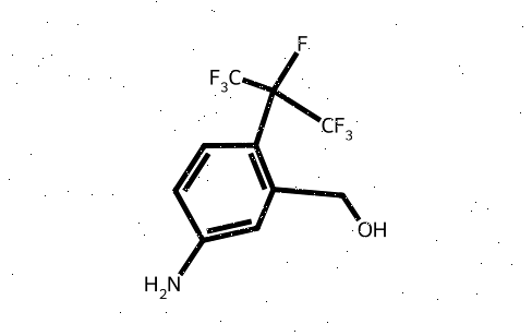 Nc1ccc(C(F)(C(F)(F)F)C(F)(F)F)c(CO)c1